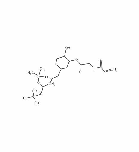 C=CC(=O)NCC(=O)OC1CC(CC[SiH2]C(O[Si](C)(C)C)O[Si](C)(C)C)CCC1O